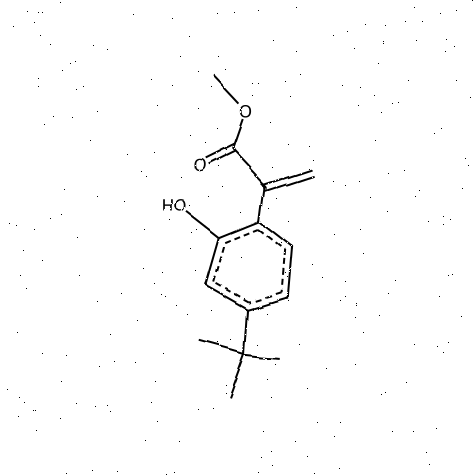 C=C(C(=O)OC)c1ccc(C(C)(C)C)cc1O